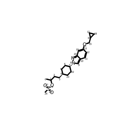 CC(CC[C@H]1CC[C@H](n2cc3ccc(OCC4CC4)cc3n2)CC1)OS(C)(=O)=O